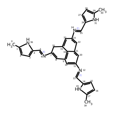 Cc1ccc(/C=N/C2=Cc3cc(/N=C/c4ccc(C)[nH]4)cc4cc(/N=C/c5ccc(C)[nH]5)cc(c34)C2)[nH]1